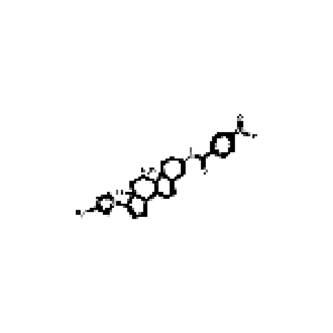 Cc1cn(C2=CCC3C4CC=C5C[C@@H](NC(=O)c6ccc([N+](=O)[O-])cc6)CC[C@]5(C)C4CC[C@]23C)cn1